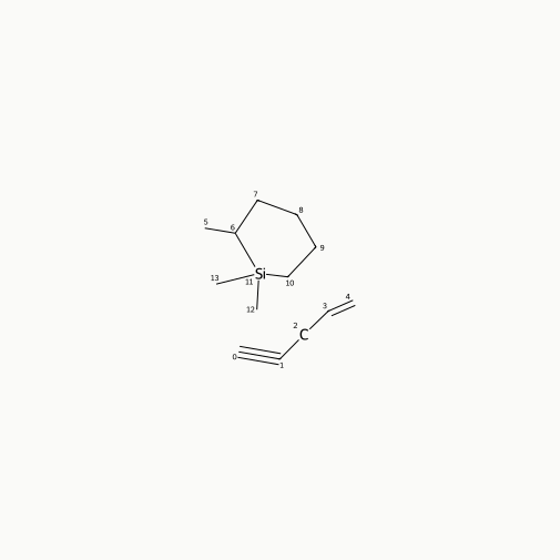 C#CCC=C.CC1CCCC[Si]1(C)C